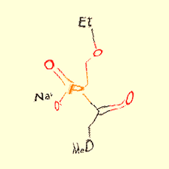 CCOP(=O)([O-])C(=O)OC.[Na+]